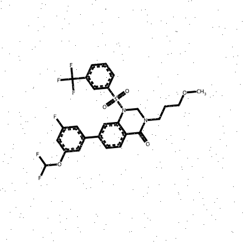 COCCCN1CN(S(=O)(=O)c2cccc(C(F)(F)F)c2)c2cc(-c3cc(F)cc(OC(F)F)c3)ccc2C1=O